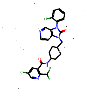 O=C(NC1CCC(Cn2c(=O)n(-c3ccccc3Cl)c3cnccc32)CC1)c1cc(Cl)cnc1C(F)F